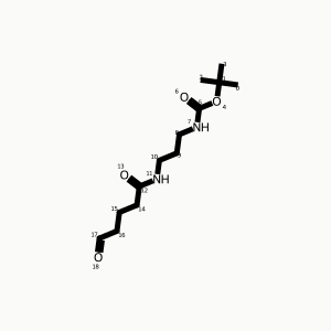 CC(C)(C)OC(=O)NCCCNC(=O)CCCC=O